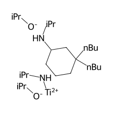 CC(C)[NH][Ti+2].CC(C)[O-].CC(C)[O-].CCCCC1(CCCC)CCCC(NC(C)C)C1